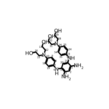 Nc1cc(N)c(Nc2ccc(N(CCO)CCO)cc2)cc1Nc1ccc(N(CCO)CCO)cc1